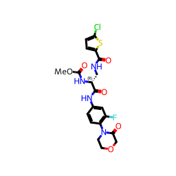 COC(=O)N[C@H](CNC(=O)c1ccc(Cl)s1)C(=O)Nc1ccc(N2CCOCC2=O)c(F)c1